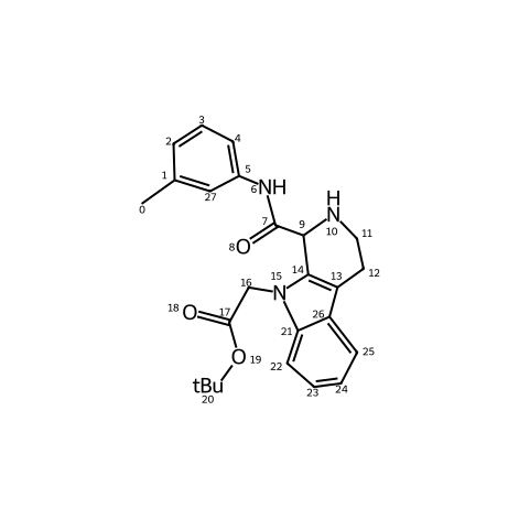 Cc1cccc(NC(=O)C2NCCc3c2n(CC(=O)OC(C)(C)C)c2ccccc32)c1